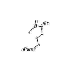 CBC(CC)CCCCCCCC